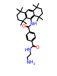 CC1(C)CCC(C)(C)c2c1cc1c(c2NC(=O)c2ccc(C(=O)NCCN)cc2)C(C)(C)CCC1(C)C